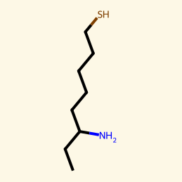 CCC(N)CCCCCS